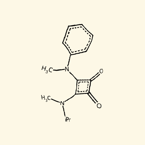 CC(C)N(C)c1c(N(C)c2ccccc2)c(=O)c1=O